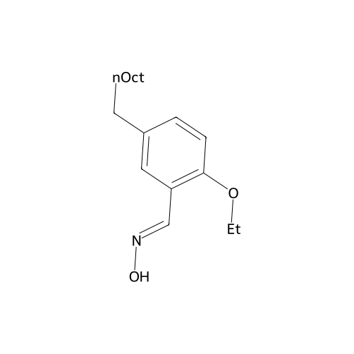 CCCCCCCCCc1ccc(OCC)c(C=NO)c1